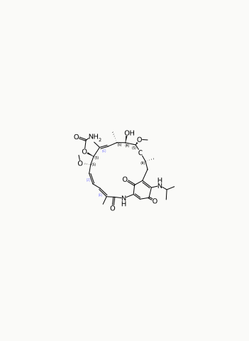 CO[C@H]1/C=C\C=C(/C)C(=O)NC2=CC(=O)C(NC(C)C)=C(C[C@@H](C)C[C@H](OC)[C@H](O)[C@@H](C)/C=C(\C)[C@@H]1OC(N)=O)C2=O